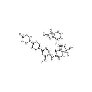 COc1cc(N2CCN(C3CCN(C)CC3)CC2)ccc1Nc1ncc(C(F)(F)F)c(NCc2cccc3c2CC(=O)N3)n1